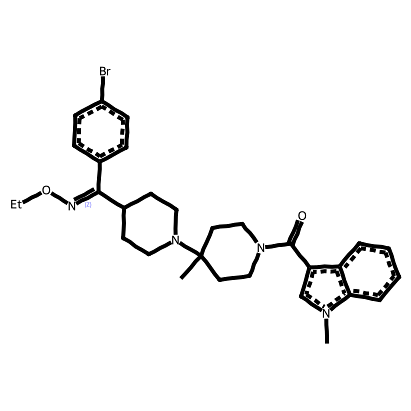 CCO/N=C(\c1ccc(Br)cc1)C1CCN(C2(C)CCN(C(=O)c3cn(C)c4ccccc34)CC2)CC1